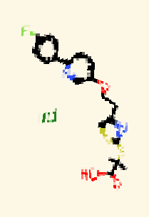 CC(C)(Sc1nc(CCOc2ccc(-c3ccc(F)cc3)nc2)cs1)C(=O)O.Cl